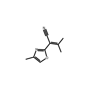 CC(C)=C(C#N)c1nc(C)co1